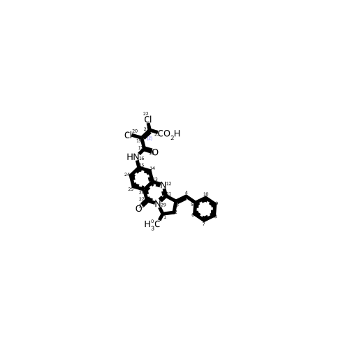 CC1CC(=Cc2ccccc2)c2nc3cc(NC(=O)/C(Cl)=C(/Cl)C(=O)O)ccc3c(=O)n21